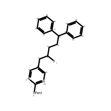 CCCCCc1ncc(CC(F)CCC(c2ccccc2)c2ccccc2)cn1